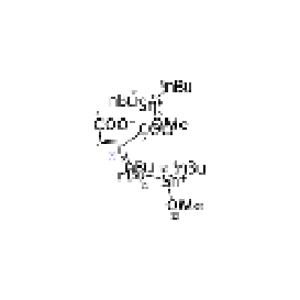 CCCC/C(=C/C(=O)[O-])C(=O)[O-].CCC[CH2][Sn+]([CH2]CCC)[O]C.CCC[CH2][Sn+]([CH2]CCC)[O]C